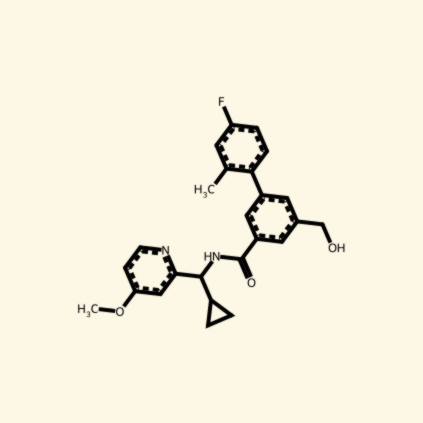 COc1ccnc(C(NC(=O)c2cc(CO)cc(-c3ccc(F)cc3C)c2)C2CC2)c1